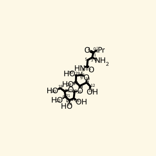 CC(C)C(=O)C(N)CC(=O)N[C@@H]1OC(CO)[C@@H](O[C@@H]2OC(CO)[C@H](O)[C@H](O)C2O)[C@H](O)C1O